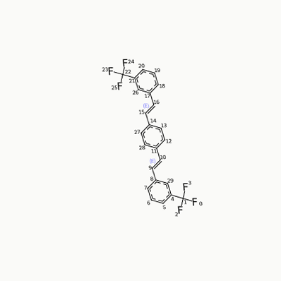 FC(F)(F)c1cccc(/C=C/c2ccc(/C=C/c3cccc(C(F)(F)F)c3)cc2)c1